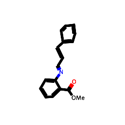 COC(=O)c1ccccc1N=CC=Cc1ccccc1